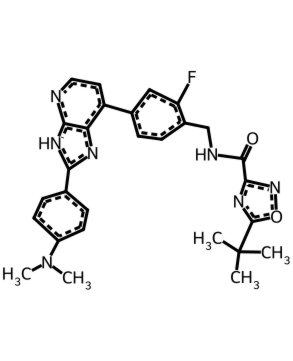 CN(C)c1ccc(-c2nc3c(-c4ccc(CNC(=O)c5noc(C(C)(C)C)n5)c(F)c4)ccnc3[nH]2)cc1